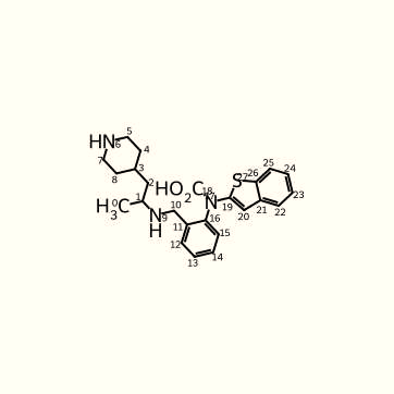 CC(CC1CCNCC1)NCc1ccccc1N(C(=O)O)c1cc2ccccc2s1